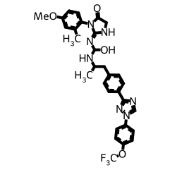 COc1ccc(N2C(=O)CN/C2=N\C(O)NC(C)Cc2ccc(-c3ncn(-c4ccc(OC(F)(F)F)cc4)n3)cc2)c(C)c1